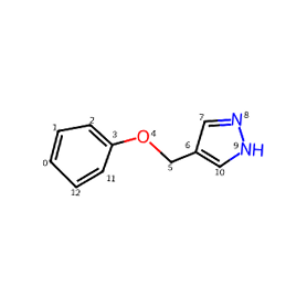 c1ccc(OCc2cn[nH]c2)cc1